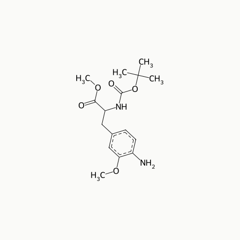 COC(=O)C(Cc1ccc(N)c(OC)c1)NC(=O)OC(C)(C)C